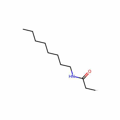 [CH2]CC(=O)NCCCCCCCC